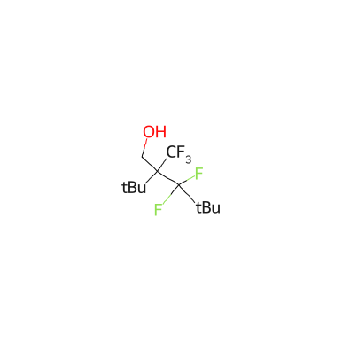 CC(C)(C)C(F)(F)C(CO)(C(C)(C)C)C(F)(F)F